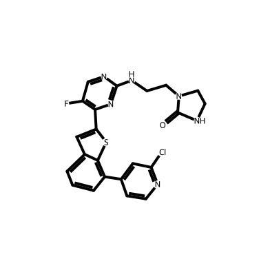 O=C1NCCN1CCNc1ncc(F)c(-c2cc3cccc(-c4ccnc(Cl)c4)c3s2)n1